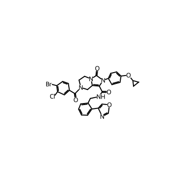 O=C(NCc1ccccc1-c1cocn1)c1c2n(c(=O)n1-c1ccc(OC3CC3)cc1)CCN(C(=O)c1ccc(Br)c(Cl)c1)C2